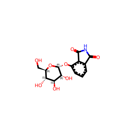 O=C1NC(=O)c2c(O[C@H]3O[C@H](CO)[C@@H](O)[C@H](O)[C@H]3O)cccc21